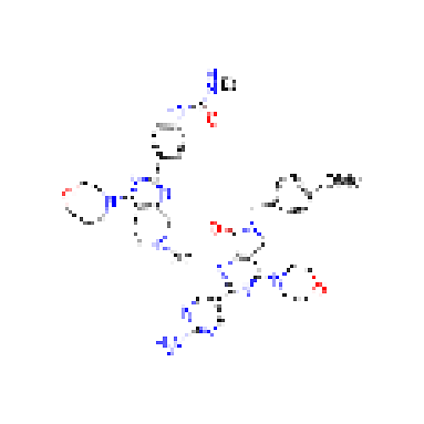 CCNC(=O)Nc1ccc(-c2nc3c(c(N4CCCOCC4)n2)CCN(C(C)=O)C3)cc1.COc1ccc(CN2Cc3c(nc(-c4cnc(N)nc4)nc3N3CCOCC3)C2=O)cc1